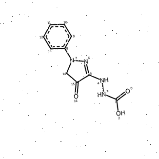 O=C(O)NNC1=NN(c2ccccc2)CC1=O